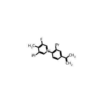 C=C(C)c1ccc(-[n+]2cc(F)c(C)c(C(C)C)c2)c(C(C)C)c1